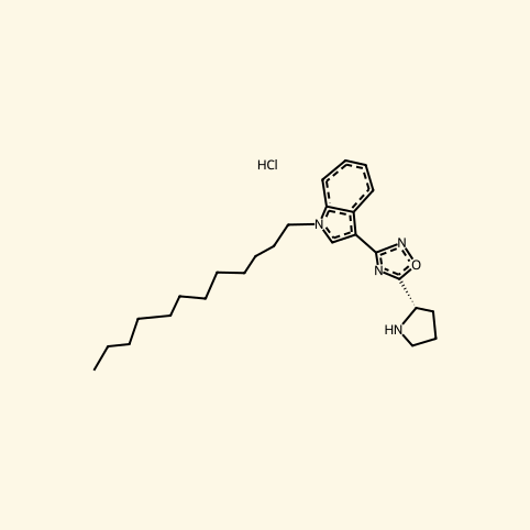 CCCCCCCCCCCCn1cc(-c2noc([C@@H]3CCCN3)n2)c2ccccc21.Cl